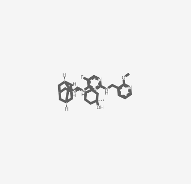 COc1ncccc1CNc1ncc(F)c(NC[C@]23CC4C[C@H](C2)[C@@H](NC[C@H]2CC[C@](C)(O)CC2)[C@@H](C4)C3)n1